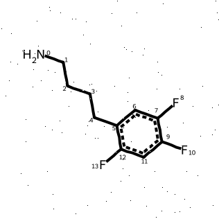 NCCCCc1cc(F)c(F)cc1F